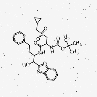 CC(C)(C)OC(=O)NC(CS(=O)(=O)CC1CC1)C(=O)NC(CCc1ccccc1)C(O)c1nc2ccccc2o1